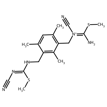 CSC(=NC#N)NCc1c(C)cc(C)c(C[N+](C#N)=C(N)SC)c1C